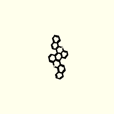 c1ccc2c(c1)ccc1c2sc2cccc3c2c1c1cccc2sc4c5ccccc5ccc4c3c21